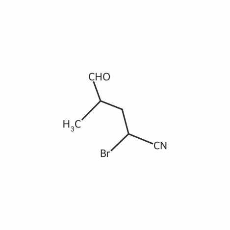 CC(C=O)CC(Br)C#N